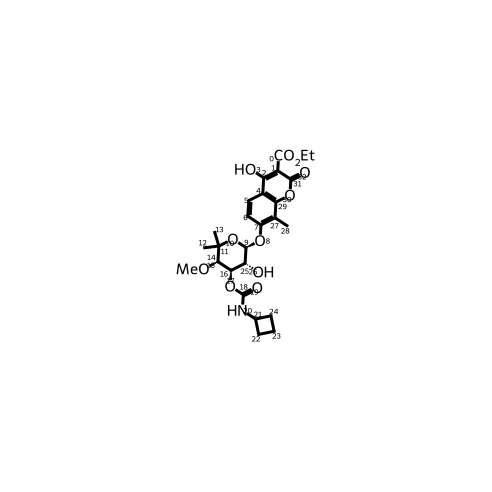 CCOC(=O)c1c(O)c2ccc(O[C@@H]3OC(C)(C)[C@H](OC)[C@H](OC(=O)NC4CCC4)[C@H]3O)c(C)c2oc1=O